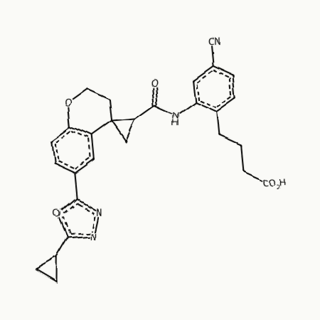 N#Cc1ccc(CCCC(=O)O)c(NC(=O)C2CC23CCOc2ccc(-c4nnc(C5CC5)o4)cc23)c1